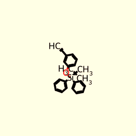 C#Cc1cccc(O[Si](c2ccccc2)(c2ccccc2)C(C)(C)C)c1